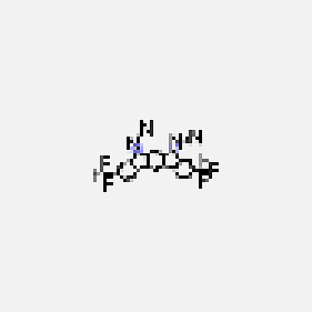 N#C/N=C1\c2cc3c(cc2C2C=CC(C(F)(F)F)=CC12)-c1ccc(C(F)(F)F)cc1/C3=N\C#N